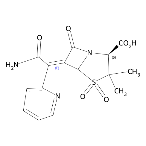 CC1(C)[C@H](C(=O)O)N2C(=O)/C(=C(\C(N)=O)c3ccccn3)C2S1(=O)=O